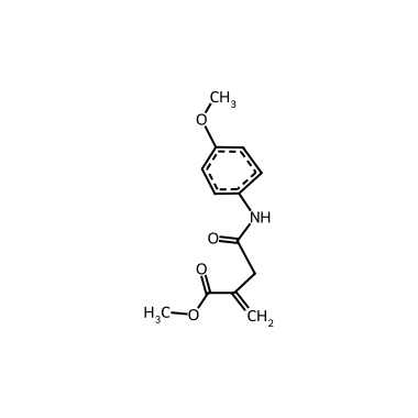 C=C(CC(=O)Nc1ccc(OC)cc1)C(=O)OC